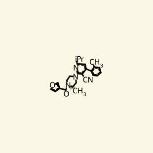 Cc1ccccc1-c1cc(C(C)C)nc(N2CCN(C(=O)c3ccoc3)[C@H](C)C2)c1C#N